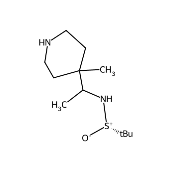 CC(N[S@@+]([O-])C(C)(C)C)C1(C)CCNCC1